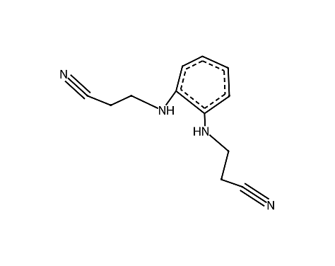 N#CCCNc1ccccc1NCCC#N